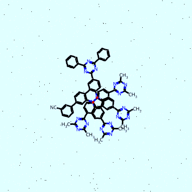 Cc1nc(C)nc(-c2ccc3c(c2)c2cc(-c4nc(C)nc(C)n4)ccc2n3-c2ccc(-c3nc(-c4ccccc4)nc(-c4ccccc4)n3)cc2-c2ccc(-c3cccc(C#N)c3)cc2-n2c3ccc(-c4nc(C)nc(C)n4)cc3c3cc(-c4nc(C)nc(C)n4)ccc32)n1